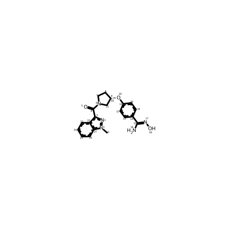 Cn1nc(C(=O)N2CC[C@H](Oc3ccc(C(N)=NO)cc3)C2)c2ccccc21